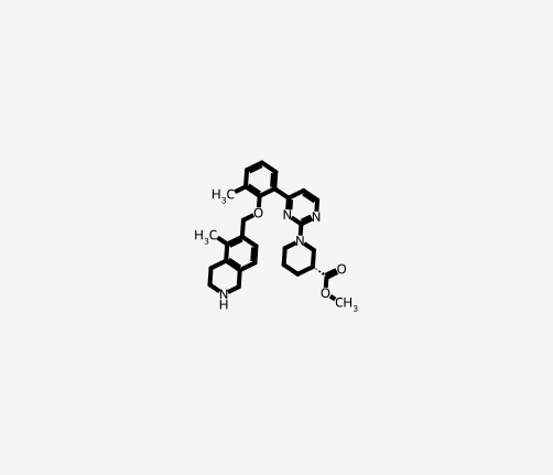 COC(=O)[C@@H]1CCCN(c2nccc(-c3cccc(C)c3OCc3ccc4c(c3C)CCNC4)n2)C1